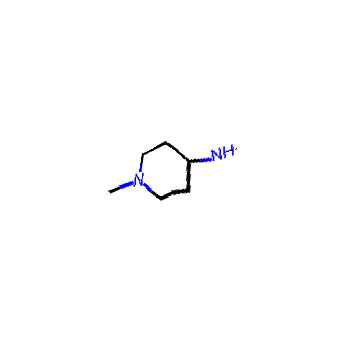 CN1CCC([NH])CC1